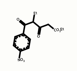 CCOC(=O)CC(=O)C(CC)C(=O)c1ccc([N+](=O)[O-])cc1